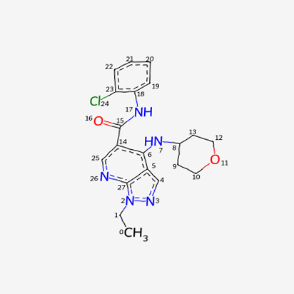 CCn1ncc2c(NC3CCOCC3)c(C(=O)Nc3ccccc3Cl)cnc21